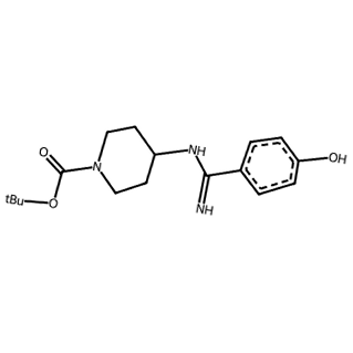 CC(C)(C)OC(=O)N1CCC(NC(=N)c2ccc(O)cc2)CC1